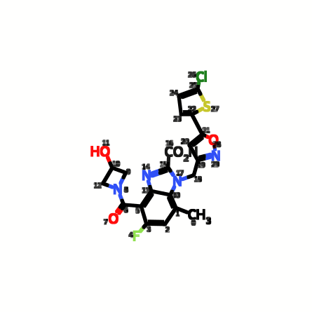 Cc1cc(F)c(C(=O)N2CC(O)C2)c2nc(C(=O)O)n(Cc3cc(-c4ccc(Cl)s4)on3)c12